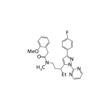 CCC(CCN(C)C(=O)Cc1ccccc1OC)c1cc(-c2ccc(F)cc2)nn1-c1ncccn1